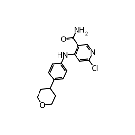 NC(=O)c1cnc(Cl)cc1Nc1ccc(C2CCOCC2)cc1